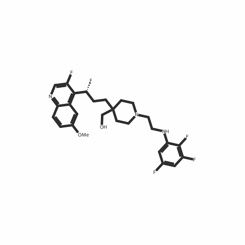 COc1ccc2ncc(F)c([C@H](F)CCC3(CO)CCN(CCNc4cc(F)cc(F)c4F)CC3)c2c1